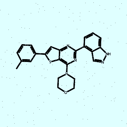 Cc1cccc(-c2cc3nc(-c4cccc5[nH]ncc45)nc(N4CCOCC4)c3s2)c1